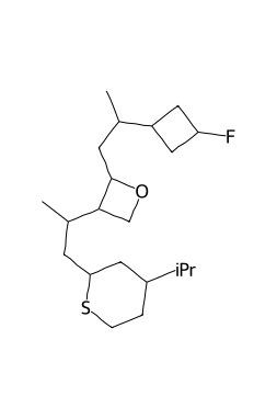 CC(C)C1CCSC(CC(C)C2COC2CC(C)C2CC(F)C2)C1